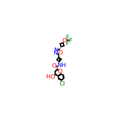 O=C(NC12CC(c3nnc([C@H]4C[C@@H](OC(F)(F)F)C4)o3)(C1)C2)[C@H]1C[C@H](O)c2cc(Cl)ccc2O1